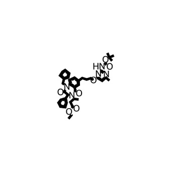 CCOC(=O)CC(C)N1C(=O)c2cc(CCCOc3cc(C)nc(NC(=O)OC(C)(C)C)n3)ccc2N(Cc2ccccc2)C(=O)C1c1ccccc1